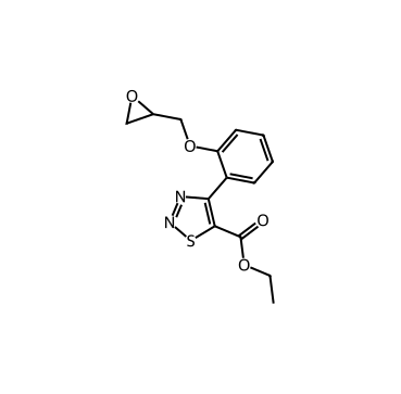 CCOC(=O)c1snnc1-c1ccccc1OCC1CO1